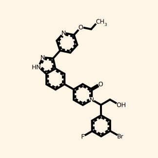 CCOc1ccc(-c2n[nH]c3ccc(-c4ccn(C(CO)c5cc(F)cc(Br)c5)c(=O)c4)cc23)cn1